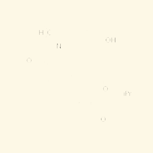 CC(C)OC(=O)c1cccc(C(=O)N(C)CCO)c1